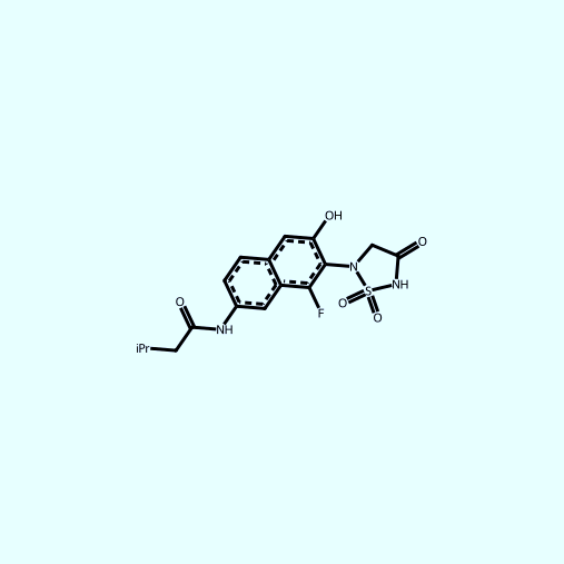 CC(C)CC(=O)Nc1ccc2cc(O)c(N3CC(=O)NS3(=O)=O)c(F)c2c1